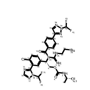 C[C@H](NC(=O)OC[C@H](c1ccc(Cl)c(-c2ncnn2C(F)F)c1)N(C(=N)NCCC(C)(C)C)C(=O)c1ccc(-c2cnn(C(F)F)n2)cc1)C(F)(F)F